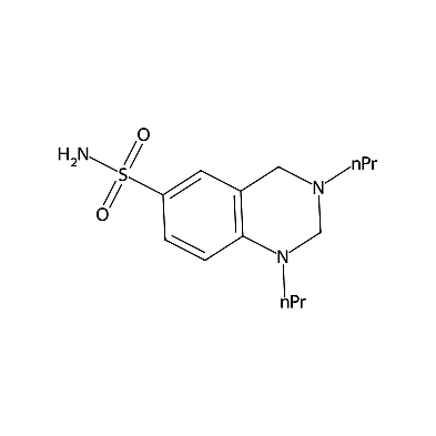 CCCN1Cc2cc(S(N)(=O)=O)ccc2N(CCC)C1